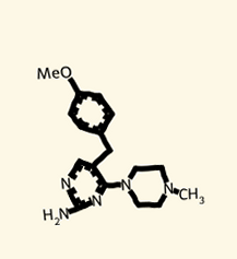 COc1ccc(Cc2cnc(N)nc2N2CCN(C)CC2)cc1